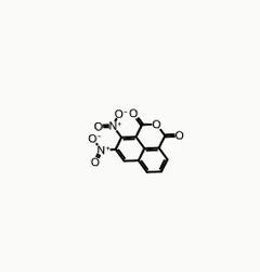 O=C1OC(=O)c2c([N+](=O)[O-])c([N+](=O)[O-])cc3cccc1c23